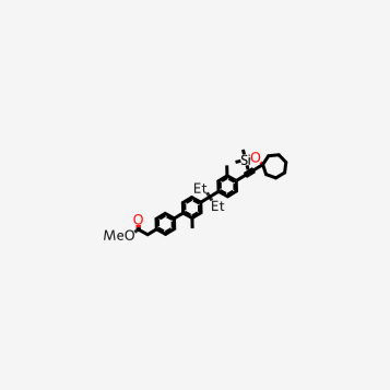 CCC(CC)(c1ccc(C#CC2(O[Si](C)(C)C)CCCCCC2)c(C)c1)c1ccc(-c2ccc(CC(=O)OC)cc2)c(C)c1